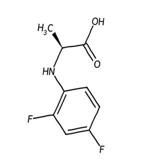 C[C@H](Nc1ccc(F)cc1F)C(=O)O